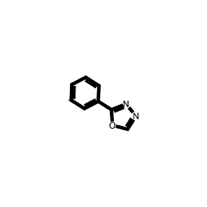 [c]1cccc(-c2nnco2)c1